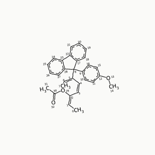 C\C=C(/C=C\C(=C/C)C1(c2ccc(OC)cc2)c2ccccc2-c2ccccc21)OC(C)=O